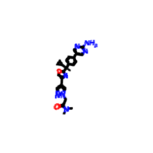 CN(C)C(=O)Cn1cc(-c2coc([C@@](C)(c3ccc(-c4cnc(N)nc4)cc3)C3CC3)n2)cn1